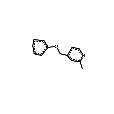 Cc1cc(COc2ccccc2)ccn1